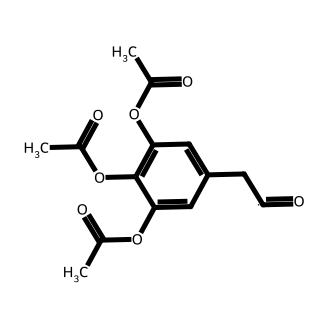 CC(=O)Oc1cc(C[C]=O)cc(OC(C)=O)c1OC(C)=O